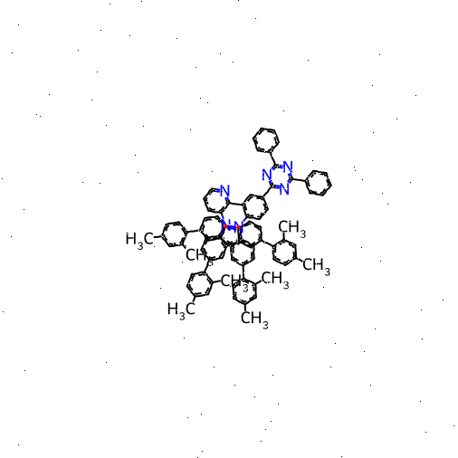 Cc1ccc(-c2ccc3c(c2)c2cc(-c4ccc(C)cc4C)ccc2n3-c2ccc(-c3nc(-c4ccccc4)nc(-c4ccccc4)n3)cc2-c2ncccc2-n2c3ccc(-c4ccc(C)cc4C)cc3c3cc(-c4ccc(C)cc4C)ccc32)c(C)c1